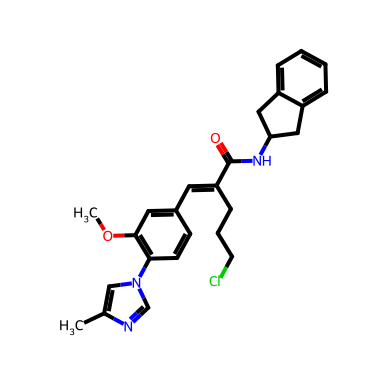 COc1cc(/C=C(\CCCCl)C(=O)NC2Cc3ccccc3C2)ccc1-n1cnc(C)c1